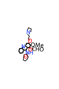 COc1c(OCCCN2CCCC2)cc2nc3ccccc3c(NC3CC4CCC(C3)O4)c2c1OC=O